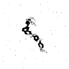 Cc1ncc(-c2ccc3cnc(NC(=O)c4ccc(OC5CCN(C)CC5)cc4)cc3c2)n1C